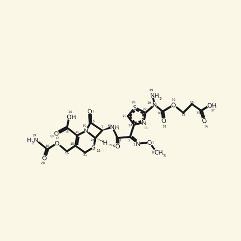 CO/N=C(/C(=O)N[C@@H]1C(=O)N2C(C(=O)O)=C(COC(N)=O)CS[C@H]12)c1csc(N(N)C(=O)OCCC(=O)O)n1